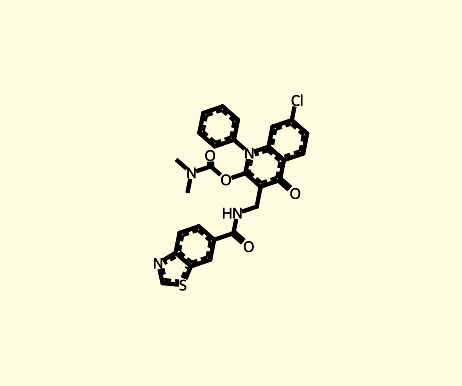 CN(C)C(=O)Oc1c(CNC(=O)c2ccc3ncsc3c2)c(=O)c2ccc(Cl)cc2n1-c1ccccc1